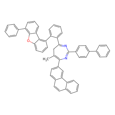 CC1=C(c2ccc3ccc4ccccc4c3c2)N=C(c2ccc(-c3ccccc3)cc2)N=C(c2ccccc2-c2cccc3oc4c(-c5ccccc5)cccc4c23)C1